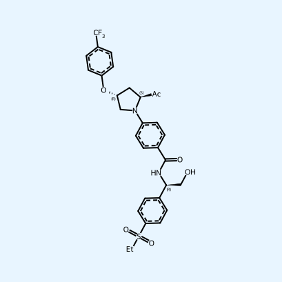 CCS(=O)(=O)c1ccc([C@H](CO)NC(=O)c2ccc(N3C[C@H](Oc4ccc(C(F)(F)F)cc4)C[C@H]3C(C)=O)cc2)cc1